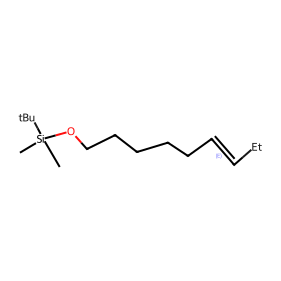 CC/C=C/CCCCCO[Si](C)(C)C(C)(C)C